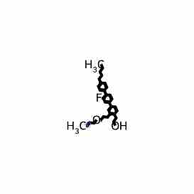 C/C=C/COCCCc1cc(-c2ccc(-c3ccc(CCCCC)cc3)c(F)c2)ccc1CCO